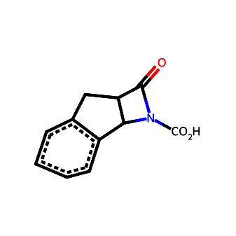 O=C(O)N1C(=O)C2Cc3ccccc3C21